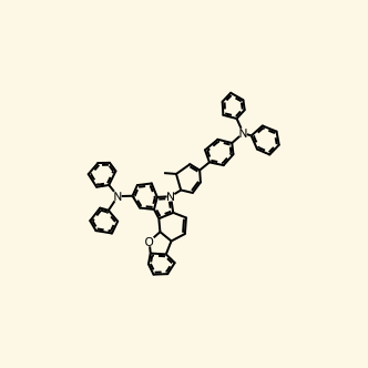 CC1C=C(c2ccc(N(c3ccccc3)c3ccccc3)cc2)C=CC1n1c2c(c3cc(N(c4ccccc4)c4ccccc4)ccc31)C1Oc3ccccc3C1C=C2